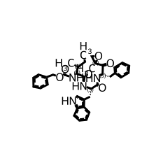 CC[C@H](C)[C@@H](NC(=O)OCc1ccccc1)C(=O)N[C@@H](Cc1c[nH]c2ccccc12)C(=O)N[C@@H](Cc1ccccc1)C(=O)[C@@]1(C)CO1